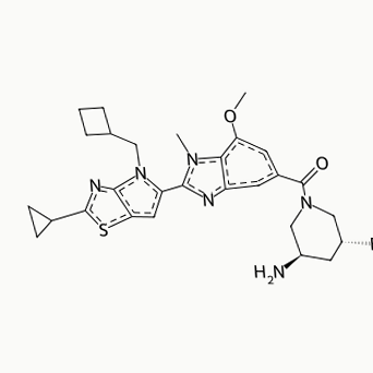 COc1cc(C(=O)N2C[C@H](N)C[C@@H](F)C2)cc2nc(-c3cc4sc(C5CC5)nc4n3CC3CCC3)n(C)c12